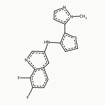 Cn1nccc1-c1sccc1Nc1cnc2c(F)c(F)ccc2c1